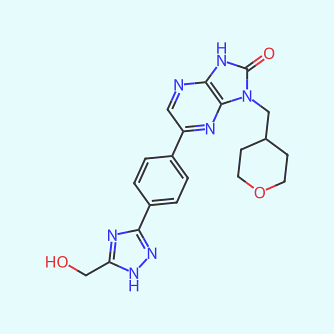 O=c1[nH]c2ncc(-c3ccc(-c4n[nH]c(CO)n4)cc3)nc2n1CC1CCOCC1